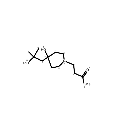 COC(=O)CCN1CCC(O)(CC(C)(C)OC(C)=O)CC1